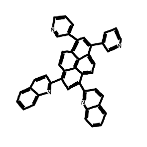 c1cncc(-c2cc(-c3cccnc3)c3ccc4c(-c5ccc6ccccc6n5)cc(-c5ccc6ccccc6n5)c5ccc2c3c54)c1